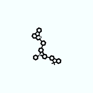 CC1(C)c2ccccc2-c2ccc(-c3ccc4c(c3)c3cc(-c5cccc(-c6cc7cccc8c7c(n6)-c6ccccc6-8)c5)ccc3n4-c3ccccc3)cc21